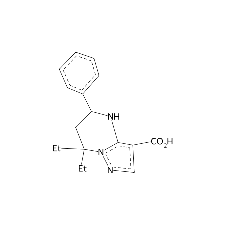 CCC1(CC)CC(c2ccccc2)Nc2c(C(=O)O)cnn21